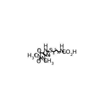 Cn1c(=O)c2[nH]c(SCCCNC(=O)O)nc2n(C)c1=O